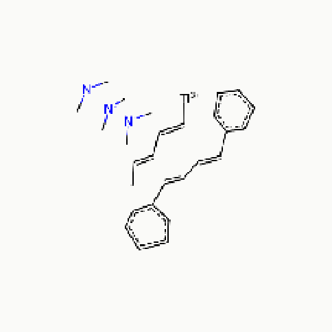 C(C=Cc1ccccc1)=Cc1ccccc1.CC=CC=[CH][Ti+3].C[N-]C.C[N-]C.C[N-]C